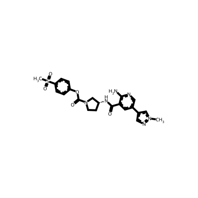 Cn1cc(-c2cnc(N)c(C(=O)N[C@@H]3CCN(C(=O)Oc4ccc(S(C)(=O)=O)cc4)C3)c2)cn1